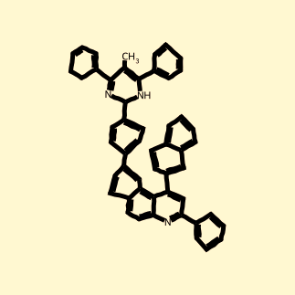 CC1=C(c2ccccc2)NC(c2ccc(-c3ccc4ccc5nc(-c6ccccc6)cc(-c6ccc7ccccc7c6)c5c4c3)cc2)N=C1C1=CC=CCC1